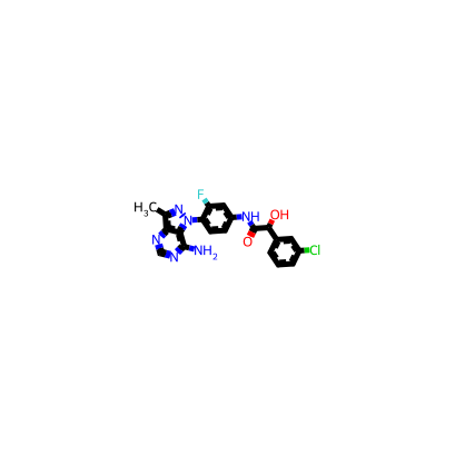 Cc1nn(-c2ccc(NC(=O)C(O)c3cccc(Cl)c3)cc2F)c2c(N)ncnc12